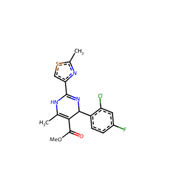 COC(=O)C1=C(C)NC(c2csc(C)n2)=NC1c1ccc(F)cc1Cl